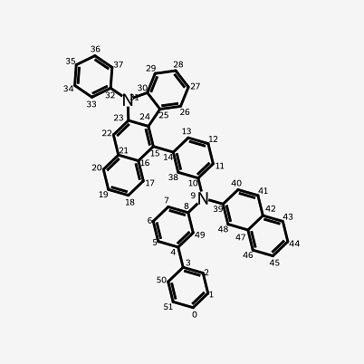 c1ccc(-c2cccc(N(c3cccc(-c4c5ccccc5cc5c4c4ccccc4n5-c4ccccc4)c3)c3ccc4ccccc4c3)c2)cc1